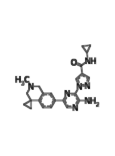 CN1Cc2cc(-c3cnc(N)c(-n4cc(C(=O)NC5CC5)cn4)n3)ccc2C2(CC2)C1